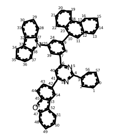 c1ccc(-c2nc(-c3cc(-c4cc5ccccc5c5ccccc45)cc(-n4c5ccccc5c5ccccc54)c3)cc(-c3ccc4oc5ccccc5c4c3)n2)cc1